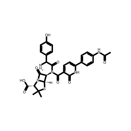 CC(=O)Nc1ccc(-c2ccc(C(=O)N(C(=O)C(N)c3ccc(O)cc3)[C@@H]3C(=O)N4[C@@H]3SC(C)(C)[C@@H]4C(=O)O)c(=O)[nH]2)cc1